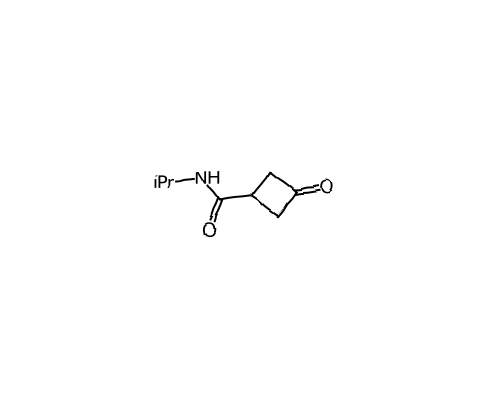 CC(C)NC(=O)C1CC(=O)C1